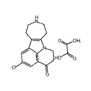 O=C(O)C(=O)O.O=C1CCn2c3c(c4cc(Cl)cc1c42)CCNCC3